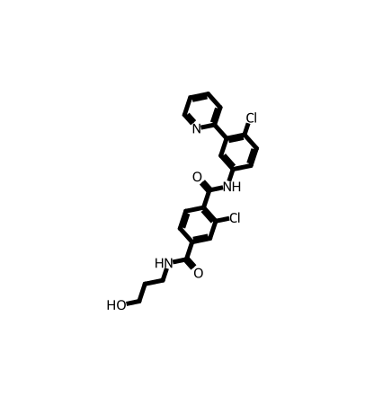 O=C(NCCCO)c1ccc(C(=O)Nc2ccc(Cl)c(-c3ccccn3)c2)c(Cl)c1